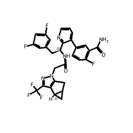 NC(=O)c1cc(-c2cccnc2[C@H](Cc2cc(F)cc(F)c2)NC(=O)Cn2nc(C(F)(F)F)c3c2CC2C[C@H]32)ccc1F